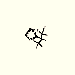 OC(c1nccs1)(C(F)(F)F)C(F)(F)F